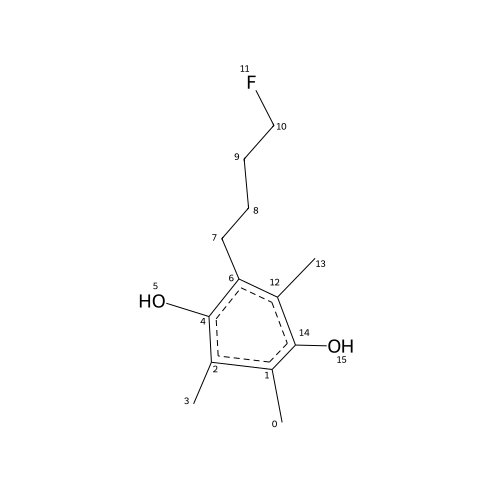 Cc1c(C)c(O)c(CCCCF)c(C)c1O